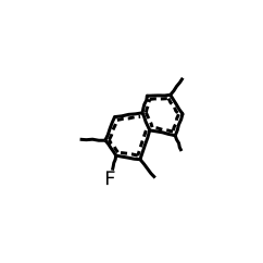 Cc1cc(C)c2c(C)c(F)c(C)cc2c1